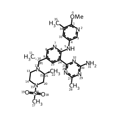 COc1ncc(Nc2ncc([C@@H](C)N3CCN(S(C)(=O)=O)C[C@@H]3C)cc2-c2nc(C)nc(N)n2)cc1C